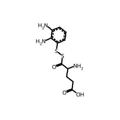 Nc1cccc(SSC(=O)C(N)CCC(=O)O)c1N